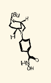 CC(C)(C)N1C[C@@H]2C[C@H]1CN2c1ccc(C(=O)NO)cc1